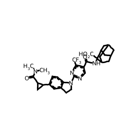 CN(C)C(=O)C1CC1c1ccc2c(c1)CCN2c1ncc(C(=O)NC2(C(=O)O)C3CC4CC(C3)CC2C4)c(C(F)(F)F)n1